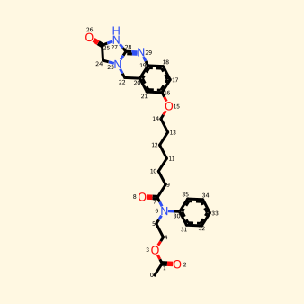 CC(=O)OCCN(C(=O)CCCCCCOc1ccc2c(c1)CN1CC(=O)NC1=N2)c1ccccc1